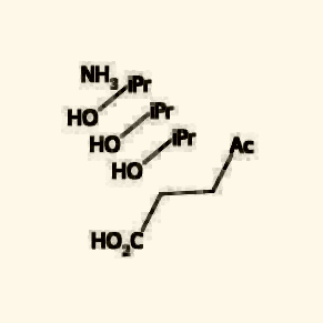 CC(=O)CCC(=O)O.CC(C)O.CC(C)O.CC(C)O.N